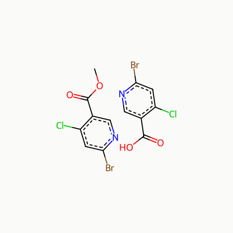 COC(=O)c1cnc(Br)cc1Cl.O=C(O)c1cnc(Br)cc1Cl